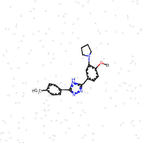 CCOc1ccc(-c2nnc(-c3ccc(C(=O)O)cc3)[nH]2)cc1N1CCCC1